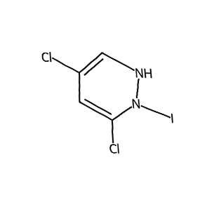 ClC1=CNN(I)C(Cl)=C1